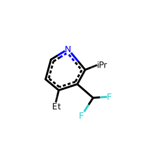 CCc1ccnc(C(C)C)c1C(F)F